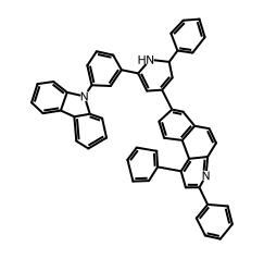 C1=C(c2ccc3c(ccc4nc(-c5ccccc5)cc(-c5ccccc5)c43)c2)C=C(c2cccc(-n3c4ccccc4c4ccccc43)c2)NC1c1ccccc1